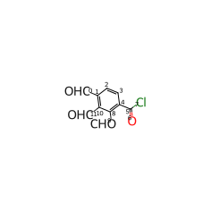 O=Cc1ccc(C(=O)Cl)c(C=O)c1C=O